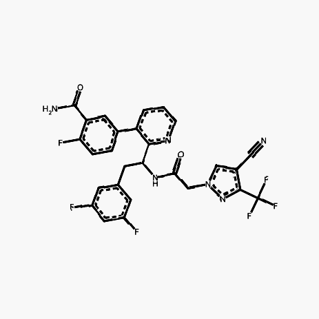 N#Cc1cn(CC(=O)NC(Cc2cc(F)cc(F)c2)c2ncccc2-c2ccc(F)c(C(N)=O)c2)nc1C(F)(F)F